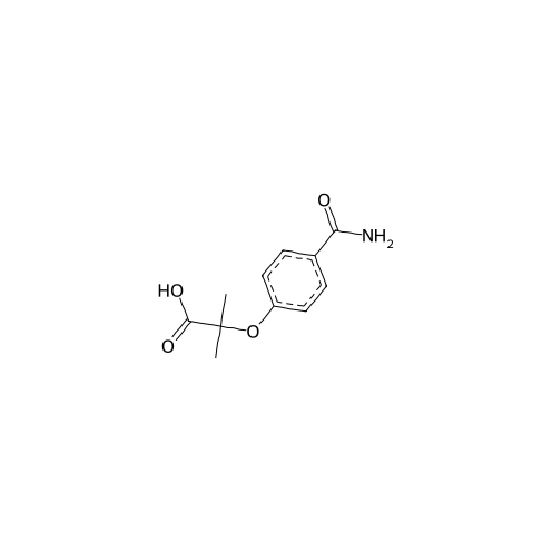 CC(C)(Oc1ccc(C(N)=O)cc1)C(=O)O